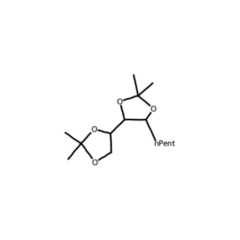 CCCCCC1OC(C)(C)OC1C1COC(C)(C)O1